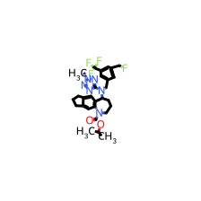 CC(C)OC(=O)N1CCCC(N(Cc2cc(CF)cc(C(F)(F)F)c2)c2nnn(C)n2)c2cc3c(cc21)CCC3